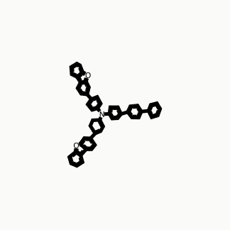 C1=C(c2ccc3c(c2)oc2ccccc23)CCC(N(c2ccc(-c3ccc(-c4ccccc4)cc3)cc2)c2ccc(-c3ccc4c(c3)oc3ccccc34)cc2)=C1